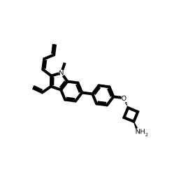 C=C/C=C\c1c(C=C)c2ccc(-c3ccc(O[C@H]4C[C@H](N)C4)cc3)cc2n1C